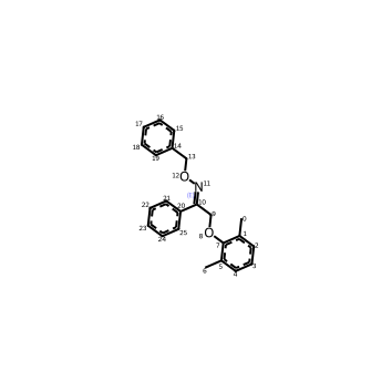 Cc1cccc(C)c1OC/C(=N/OCc1ccccc1)c1ccccc1